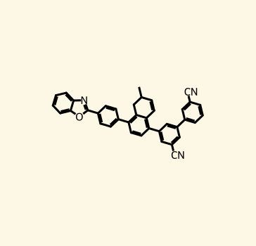 CC1C=Cc2c(-c3cc(C#N)cc(-c4cccc(C#N)c4)c3)ccc(-c3ccc(-c4nc5ccccc5o4)cc3)c2C1